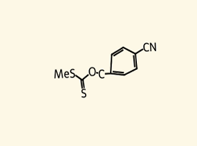 C[SH2]C(=S)OCc1ccc(C#N)cc1